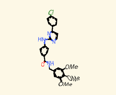 COc1cc(CNC(=O)c2ccc(Nc3nccc(-c4ccc(Cl)cc4)n3)cc2)cc(OC)c1OC